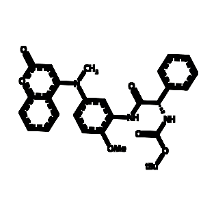 COc1ccc(N(C)c2cc(=O)oc3ccccc23)cc1NC(=O)[C@@H](NC(=O)OC(C)(C)C)c1ccccc1